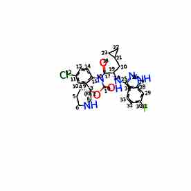 O=C1O[C@]2(CCCNC2)c2cc(Cl)ccc2N1C(=O)C(CC1CC1)Nc1n[nH]c2cc(F)ccc12